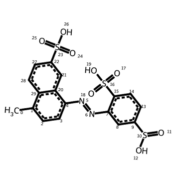 Cc1ccc(N=Nc2cc(S(=O)O)ccc2S(=O)(=O)O)c2cc(S(=O)(=O)O)ccc12